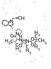 C#CCn1cc(C[C@@H]2CCCN2C(=O)[C@@H](NC(=O)[C@H](C)NC(=O)OC(C)(C)C)C(C)C)c2ccccc21